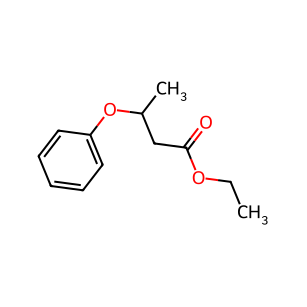 CCOC(=O)CC(C)Oc1ccccc1